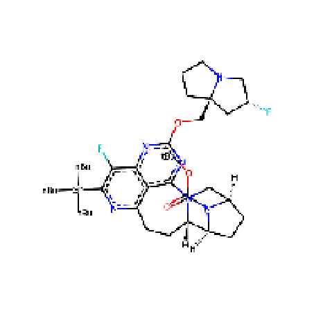 CCC[CH2][Sn]([CH2]CCC)([CH2]CCC)[c]1nc2c3c(nc(OC[C@@]45CCCN4C[C@H](F)C5)nc3c1F)N1C[C@H]3CC[C@@H]([C@@H]1CC2)N3C(=O)OC(C)(C)C